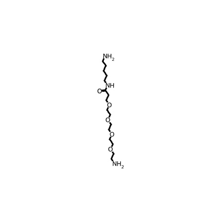 NCCCCCNC(=O)CCOCCOCCOCCOCCN